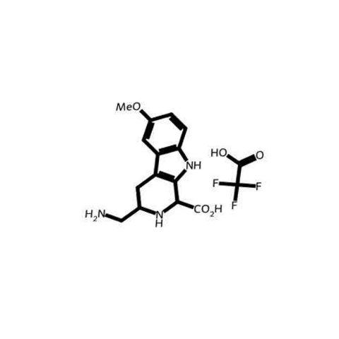 COc1ccc2[nH]c3c(c2c1)CC(CN)NC3C(=O)O.O=C(O)C(F)(F)F